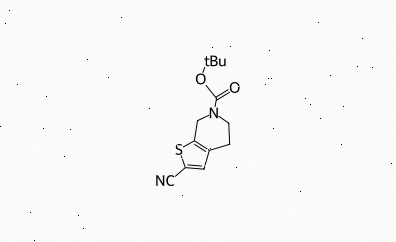 CC(C)(C)OC(=O)N1CCc2cc(C#N)sc2C1